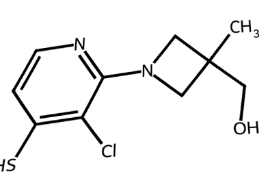 CC1(CO)CN(c2nccc(S)c2Cl)C1